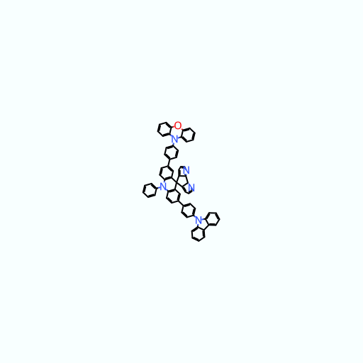 c1ccc(N2c3ccc(-c4ccc(N5c6ccccc6Oc6ccccc65)cc4)cc3C3(c4cc(-c5ccc(-n6c7ccccc7c7ccccc76)cc5)ccc42)c2cccnc2-c2ncccc23)cc1